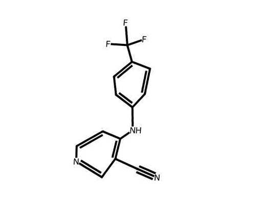 N#Cc1cnccc1Nc1ccc(C(F)(F)F)cc1